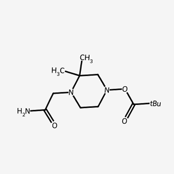 CC(C)(C)C(=O)ON1CCN(CC(N)=O)C(C)(C)C1